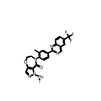 Cc1cc(-c2ncc3cc(C(F)(F)F)ccc3n2)ccc1N1CCOc2cnn(PI)c2C1=O